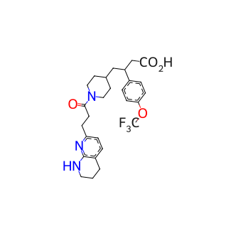 O=C(O)CC(CC1CCN(C(=O)CCc2ccc3c(n2)NCCC3)CC1)c1ccc(OC(F)(F)F)cc1